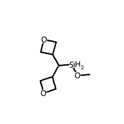 CO[SiH2]C(C1COC1)C1COC1